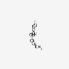 CCN1CCc2ccc(CCn3ncc(OCc4ccc(F)cn4)cc3=O)cc2C1